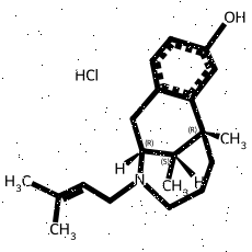 CC(C)=CCN1CCC[C@@]2(C)c3cc(O)ccc3C[C@@H]1[C@H]2C.Cl